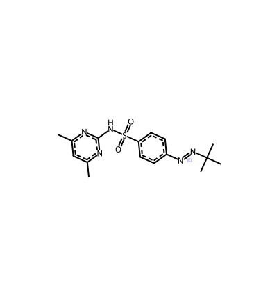 Cc1cc(C)nc(NS(=O)(=O)c2ccc(/N=N/C(C)(C)C)cc2)n1